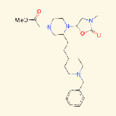 COC(=O)CN1CCN(C2CN(C)C(=O)O2)C(CCC2CCN(Cc3ccccc3)CC2)C1